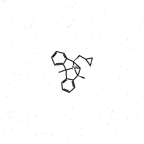 CC12c3ccccc3[C@@]3(C)C4[C@@](CC5CC5)(c5ccccc51)[N+]423